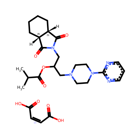 CC(C)C(=O)OC(CN1CCN(c2ncccn2)CC1)CN1C(=O)[C@H]2CCCC[C@H]2C1=O.O=C(O)/C=C\C(=O)O